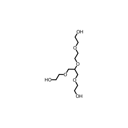 OCCOCCOC(COCCO)COCCO